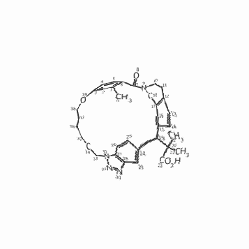 Cc1cc2ccc1C(=O)N1CCc3ccc(cc3C1)C(C(C)(C)C(=O)O)c1ccc3c(c1)nnn3CCCCCCO2